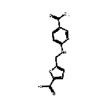 CC(=O)c1ccc(NCc2ccc(C(=O)O)o2)cc1